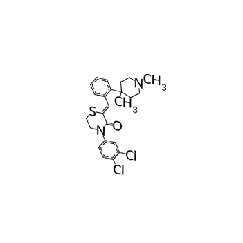 CN1CCC(C)(c2ccccc2/C=C2\SCCN(c3ccc(Cl)c(Cl)c3)C2=O)CC1